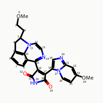 COCCC1Cc2cccc3c2N1C=CN=C3C1=C(c2cnc3cc(OC)ccn23)C(=O)NC1=O